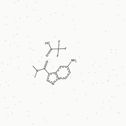 CN(C)C(=O)c1cnn2ccc(N)cc12.O=C(O)C(F)(F)F